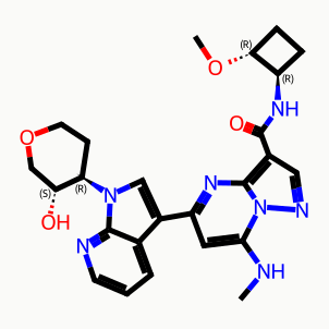 CNc1cc(-c2cn([C@@H]3CCOC[C@H]3O)c3ncccc23)nc2c(C(=O)N[C@@H]3CC[C@H]3OC)cnn12